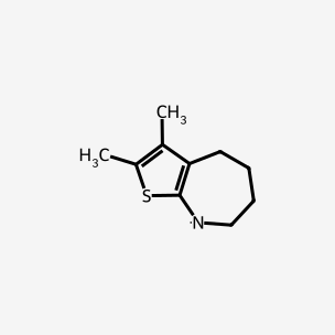 Cc1sc2c(c1C)CCCC[N]2